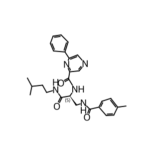 Cc1ccc(C(=O)NC[C@H](NC(=O)c2cncc(-c3ccccc3)n2)C(=O)NCCC(C)C)cc1